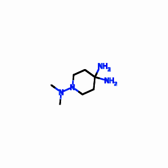 CN(C)N1CCC(N)(N)CC1